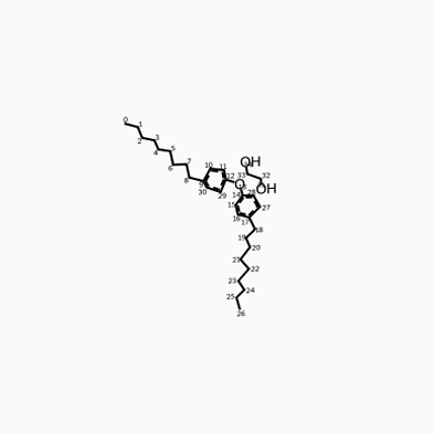 CCCCCCCCCc1ccc(Oc2ccc(CCCCCCCCC)cc2)cc1.OCCO